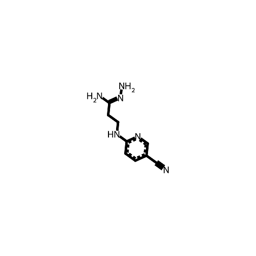 N#Cc1ccc(NCCC(N)=NN)nc1